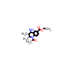 CCOC(=O)c1ccc2c(c1)[C@H](N)[C@@H](C)[C@H](C)N2C(C)=O